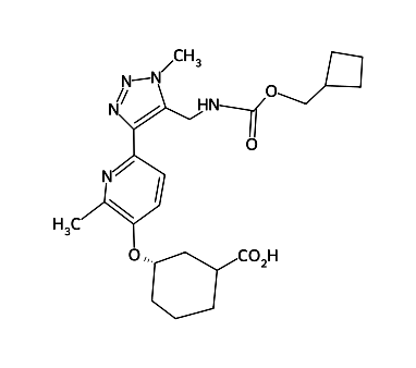 Cc1nc(-c2nnn(C)c2CNC(=O)OCC2CCC2)ccc1O[C@H]1CCCC(C(=O)O)C1